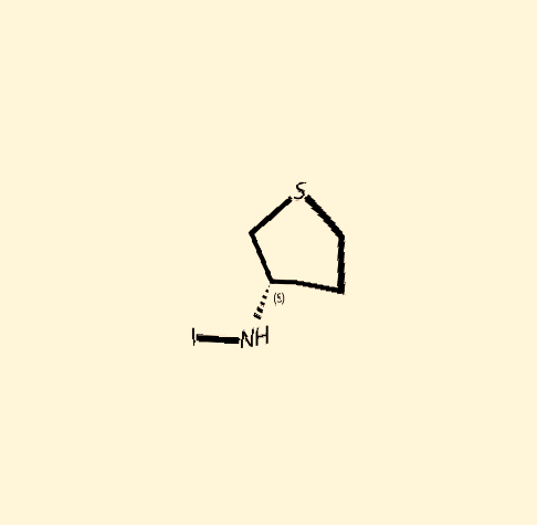 IN[C@H]1CCSC1